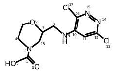 O=C(O)N1CCOC(CNc2cc(Cl)nnc2Cl)C1